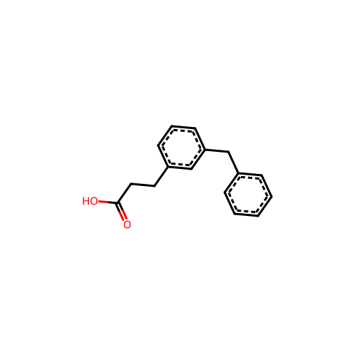 O=C(O)CCc1cccc(Cc2ccccc2)c1